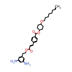 C=CCCCCCCOC1CCC(OC(=O)c2ccc(/C=C/C(=O)OCCc3cc(N)cc(N)c3)cc2)CC1